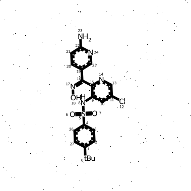 CC(C)(C)c1ccc(S(=O)(=O)Nc2cc(Cl)cnc2/C(=N\O)c2ccc(N)nc2)cc1